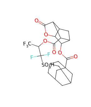 O=C1OC2C3CC(C2OC(=O)C24CC5CC(CC(C5)C2)C4)C(C(=O)OC(C(F)(F)F)C(F)(F)S(=O)(=O)O)C13